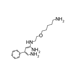 N/C=C(\C=C(/N)NCCOCCCCCN)c1ccccc1